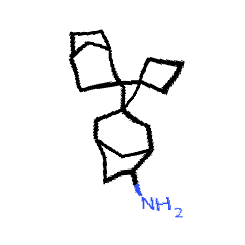 NC1CC2CC1CC1(C2)C2(CCC2)C12CC1CCC2C1